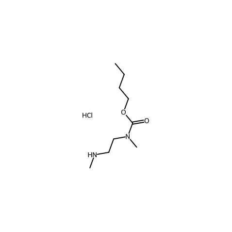 CCCCOC(=O)N(C)CCNC.Cl